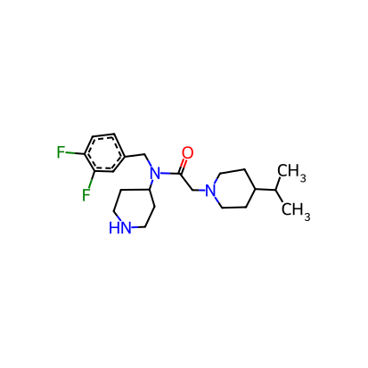 CC(C)C1CCN(CC(=O)N(Cc2ccc(F)c(F)c2)C2CCNCC2)CC1